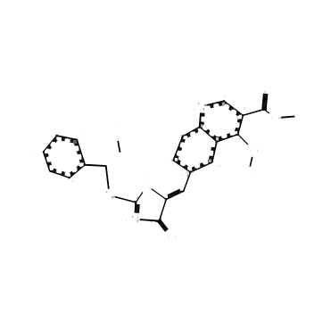 COC(=O)c1cnc2ccc(/C=C3\SC(N[C@@H](CO)c4ccccc4)=NC3=O)cc2c1OC